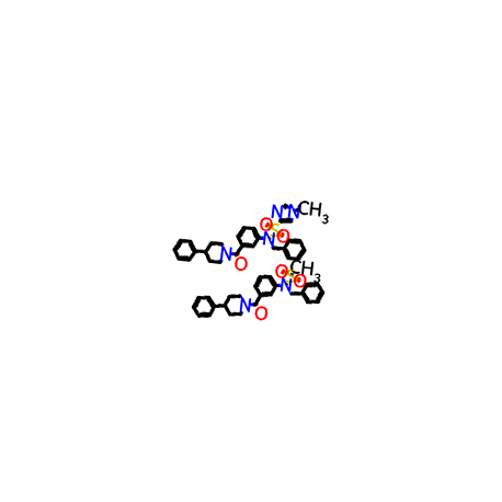 CS(=O)(=O)N(Cc1ccccc1)c1cccc(C(=O)N2CCC(c3ccccc3)CC2)c1.Cn1cnc(S(=O)(=O)N(Cc2ccccc2)c2cccc(C(=O)N3CCC(c4ccccc4)CC3)c2)c1